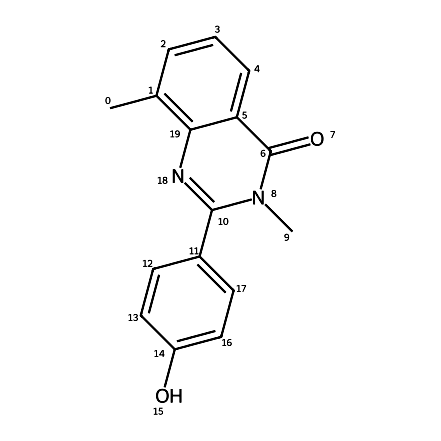 Cc1cccc2c(=O)n(C)c(-c3ccc(O)cc3)nc12